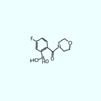 O=C(c1ccc(F)cc1B(O)O)N1CCOCC1